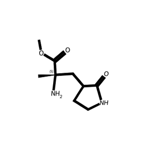 COC(=O)[C@@](C)(N)CC1CCNC1=O